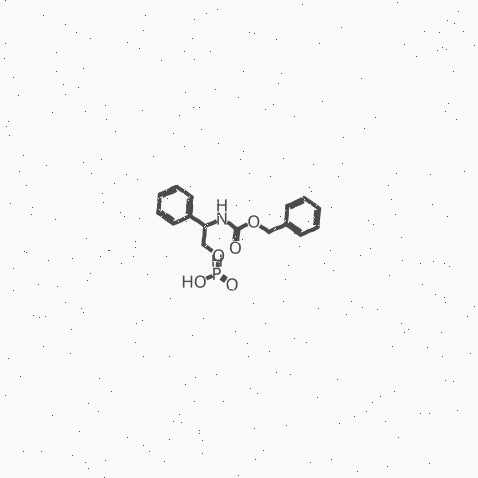 O=C(NC(CO[PH](=O)O)c1ccccc1)OCc1ccccc1